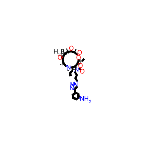 B[C@@H]1[C@@H](C)C(=O)[C@@H](C)C(=O)O[C@H](CC)[C@@]2(C)OC(=O)N(CCCCn3cc(-c4cccc(N)c4)nn3)[C@@H]2[C@@H](CC=C)N(C)C[C@H](C)C[C@@]1(C)OC